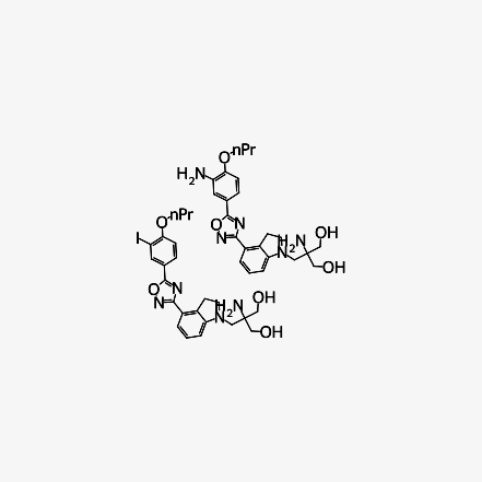 CCCOc1ccc(-c2nc(-c3cccc4c3CCN4CC(N)(CO)CO)no2)cc1I.CCCOc1ccc(-c2nc(-c3cccc4c3CCN4CC(N)(CO)CO)no2)cc1N